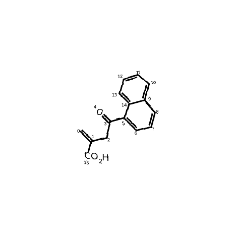 C=C(CC(=O)c1cccc2ccccc12)C(=O)O